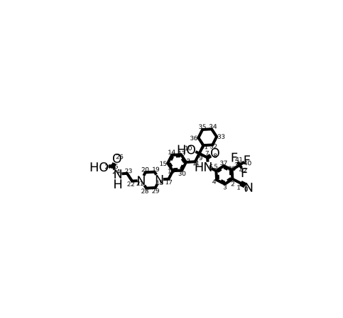 N#Cc1ccc(NC(=O)C(O)(Cc2cccc(CN3CCN(CCNC(=O)O)CC3)c2)C2CCCCC2)cc1C(F)(F)F